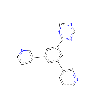 c1cncc(-c2cc(-c3cccnc3)cc(-c3ncncn3)c2)c1